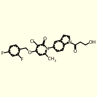 Cc1cc(OCc2ccc(F)cc2F)c(Cl)c(=O)n1-c1ccc2c(ccn2C(=O)CCO)c1